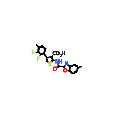 Cc1ccc2oc(C(=O)Nc3scc(-c4ccc(C)c(F)c4F)c3C(=O)O)nc2c1